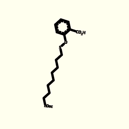 CCCCCCCCCCCCCCCCCCSOc1ccccc1C(=O)O